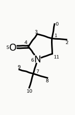 CC1(C)CC(=O)N(C(C)(C)C)C1